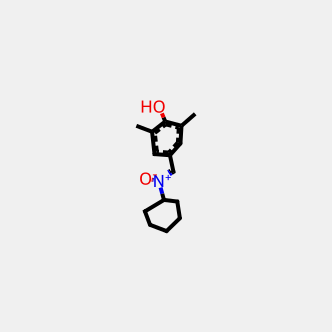 Cc1cc(/C=[N+](\[O-])C2CCCCC2)cc(C)c1O